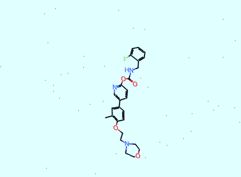 Cc1cc(-c2ccc(OC(=O)NCc3ccccc3F)nc2)ccc1OCCN1CCOCC1